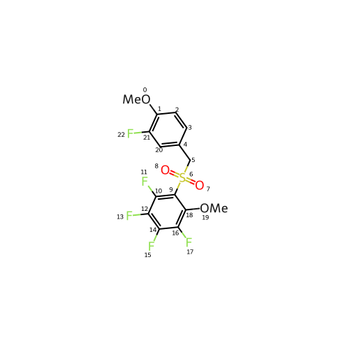 COc1ccc(CS(=O)(=O)c2c(F)c(F)c(F)c(F)c2OC)cc1F